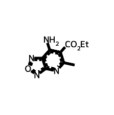 CCOC(=O)c1c(C)nc2nonc2c1N